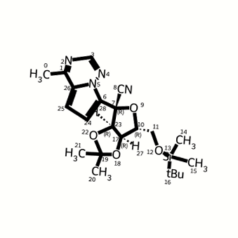 Cc1ncnn2c([C@]3(C#N)O[C@H](CO[Si](C)(C)C(C)(C)C)[C@H]4OC(C)(C)O[C@H]43)ccc12